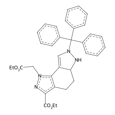 CCOC(=O)Cn1nc(C(=O)OCC)c2c1C1=CN(C(c3ccccc3)(c3ccccc3)c3ccccc3)NC1CC2